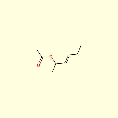 CCC=CC(C)OC(C)=O